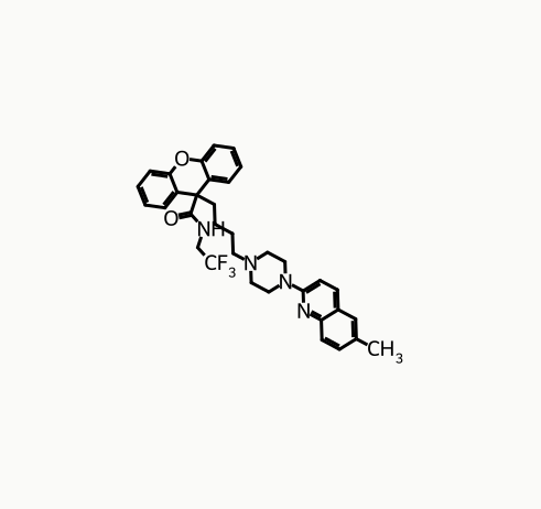 Cc1ccc2nc(N3CCN(CCCCC4(C(=O)NCC(F)(F)F)c5ccccc5Oc5ccccc54)CC3)ccc2c1